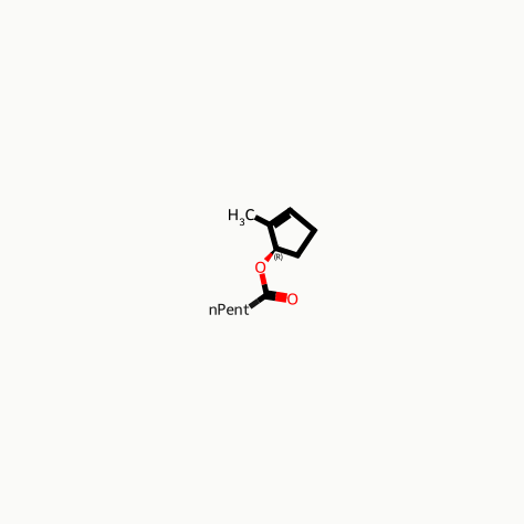 CCCCCC(=O)O[C@@H]1CCC=C1C